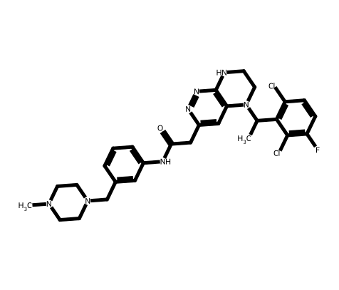 CC(c1c(Cl)ccc(F)c1Cl)N1CCNc2nnc(CC(=O)Nc3cccc(CN4CCN(C)CC4)c3)cc21